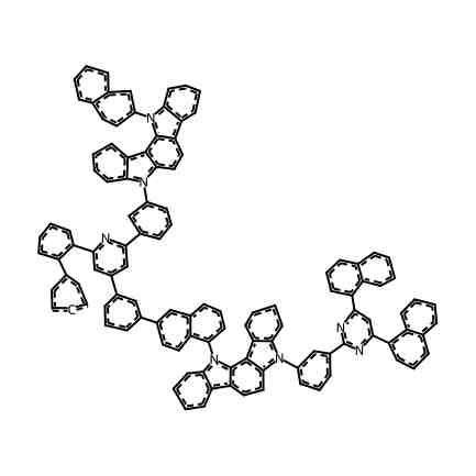 c1ccc(-c2ccccc2-c2cc(-c3cccc(-c4ccc5c(-n6c7ccccc7c7ccc8c(c9ccccc9n8-c8cccc(-c9nc(-c%10cccc%11ccccc%10%11)cc(-c%10cccc%11ccccc%10%11)n9)c8)c76)cccc5c4)c3)cc(-c3cccc(-n4c5ccccc5c5c4ccc4c6ccccc6n(-c6ccc7ccccc7c6)c45)c3)n2)cc1